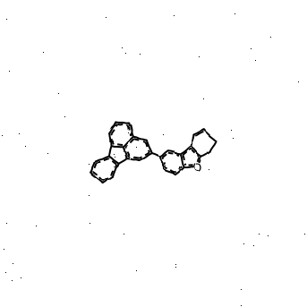 C1=Cc2c(oc3ccc(-c4cc5c6c(cccc6c4)-c4ccccc4-5)cc23)CC1